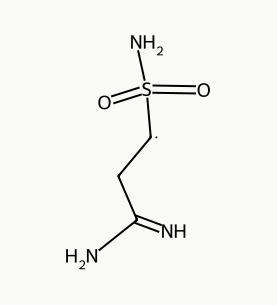 N=C(N)C[CH]S(N)(=O)=O